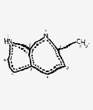 [CH2]c1ccc2cc[nH]c2n1